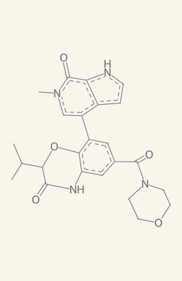 CC(C)C1Oc2c(cc(C(=O)N3CCOCC3)cc2-c2cn(C)c(=O)c3[nH]ccc23)NC1=O